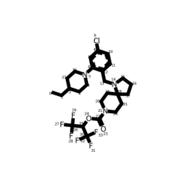 CCC1CCN(c2cc(Cl)ccc2CN2CCCC23CCN(C(=O)OC(C(F)(F)F)C(F)(F)F)CC3)CC1